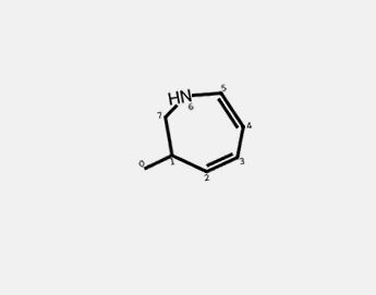 CC1C=CC=CNC1